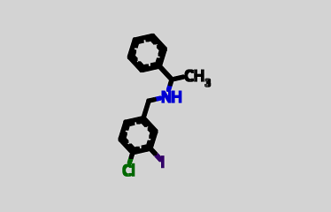 CC(NCc1ccc(Cl)c(I)c1)c1ccccc1